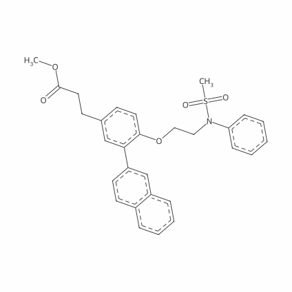 COC(=O)CCc1ccc(OCCN(c2ccccc2)S(C)(=O)=O)c(-c2ccc3ccccc3c2)c1